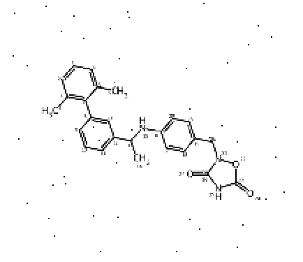 Cc1cccc(C)c1-c1cccc(C(C)Nc2ccc(Cn3oc(=O)[nH]c3=O)cc2)c1